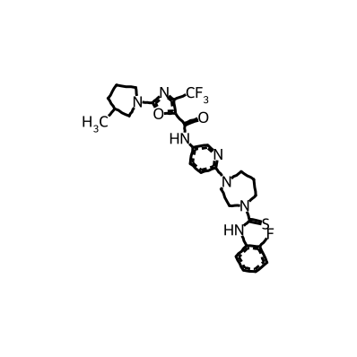 CC1CCCN(c2nc(C(F)(F)F)c(C(=O)Nc3ccc(N4CCCN(C(=S)Nc5ccccc5F)CC4)nc3)o2)C1